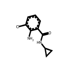 Nc1c(Cl)cccc1C(=O)NC1CC1